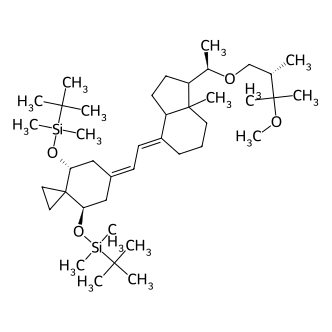 COC(C)(C)[C@@H](C)CO[C@H](C)C1CCC2/C(=C/C=C3C[C@@H](O[Si](C)(C)C(C)(C)C)C4(CC4)[C@H](O[Si](C)(C)C(C)(C)C)C3)CCCC21C